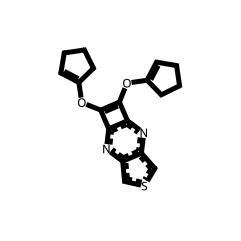 C1=C(OC2=C(OC3=CCCC3)c3nc4cscc4nc32)CCC1